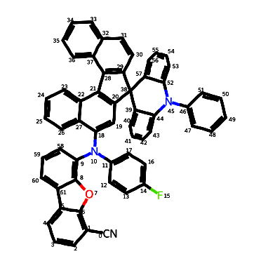 N#Cc1cccc2c1oc1c(N(c3ccc(F)cc3)c3cc4c(c5ccccc35)-c3c(ccc5ccccc35)C43c4ccccc4N(c4ccccc4)c4ccccc43)cccc12